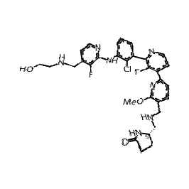 COc1nc(-c2ccnc(-c3cccc(Nc4nccc(CNCCO)c4F)c3Cl)c2F)ccc1CNC[C@@H]1CCC(=O)N1